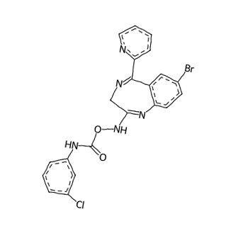 O=C(Nc1cccc(Cl)c1)ONC1=Nc2ccc(Br)cc2C(c2ccccn2)=NC1